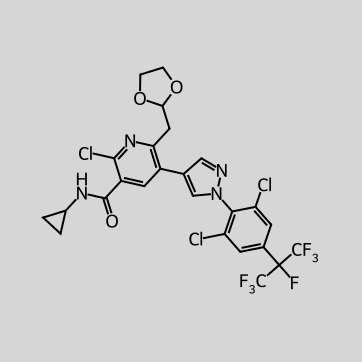 O=C(NC1CC1)c1cc(-c2cnn(-c3c(Cl)cc(C(F)(C(F)(F)F)C(F)(F)F)cc3Cl)c2)c(CC2OCCO2)nc1Cl